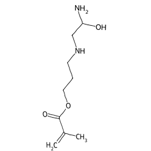 C=C(C)C(=O)OCCCNCC(N)O